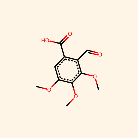 COc1cc(C(=O)O)c(C=O)c(OC)c1OC